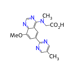 COc1cc(-c2ncc(C)cn2)cc2c(N(C)CC(=O)O)ncnc12